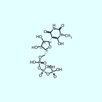 Cn1c(O)c([C@@H]2O[C@H](COP(=O)(O)OP(=O)(O)OP(=O)(O)O)[C@@H](O)[C@H]2O)c(=O)[nH]c1=O